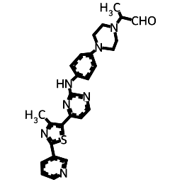 Cc1nc(-c2cccnc2)sc1-c1ccnc(Nc2ccc(N3CCN(C(C)C=O)CC3)cc2)n1